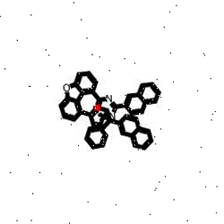 c1ccc(-c2nc(-c3ccc4ccccc4c3)nc(-c3cccc4oc5cccc(-c6ccc(-c7ccc8ccccc8c7)cc6)c5c34)n2)cc1